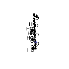 C=C[C@@H](CCCCNC(=O)CC[C@H](CC(=N)C(=O)CC[C@H](/C=C/C(=O)CC[C@H](C)C(=O)O)C(=O)O)C(=O)O)C(C)=O